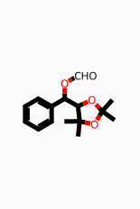 CC1(C)OC(C(OC=O)c2ccccc2)C(C)(C)O1